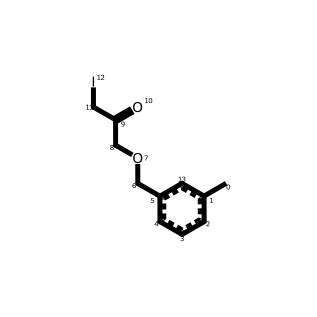 Cc1cccc(COCC(=O)CI)c1